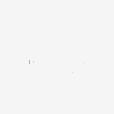 CCC1CCCOO1